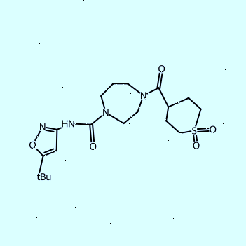 CC(C)(C)c1cc(NC(=O)N2CCCN(C(=O)C3CCS(=O)(=O)CC3)CC2)no1